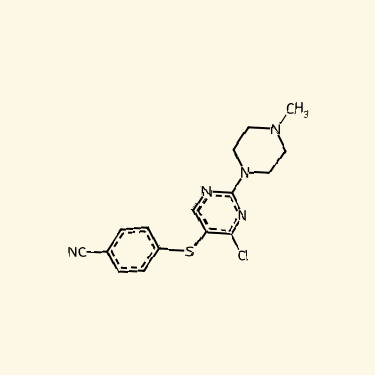 CN1CCN(c2ncc(Sc3ccc(C#N)cc3)c(Cl)n2)CC1